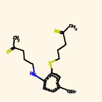 COc1ccc(NCCCC(C)=S)c(SCCCC(C)=S)c1